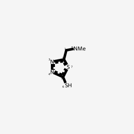 CNCc1nnc(S)s1